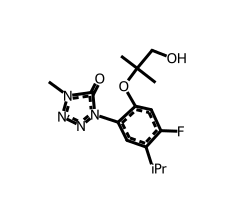 CC(C)c1cc(-n2nnn(C)c2=O)c(OC(C)(C)CO)cc1F